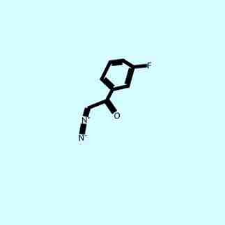 [N-]=[N+]=CC(=O)c1cccc(F)c1